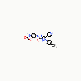 CN1C(=O)COc2cc(NC(=O)c3cc(-c4ccncc4)n(-c4ccc(C(F)(F)F)cc4)n3)ccc21